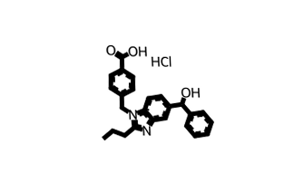 CCCc1nc2cc(C(O)c3ccccc3)ccc2n1Cc1ccc(C(=O)O)cc1.Cl